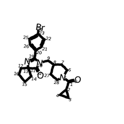 O=C(C1CC1)N1CCC(CN2C(=O)C3(CCCC3)N=C2c2ccc(Br)cc2)CC1